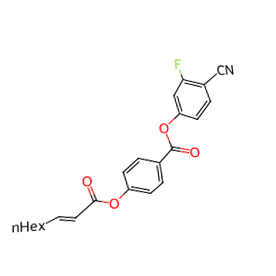 CCCCCCC=CC(=O)Oc1ccc(C(=O)Oc2ccc(C#N)c(F)c2)cc1